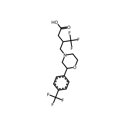 O=C(O)CC(CN1CCOC(c2ccc(C(F)(F)F)cc2)C1)C(F)(F)F